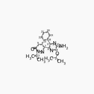 CC(C)Oc1nc(-c2ccc(=O)n(C(C)C)n2)c(-c2ccccc2)nc1N